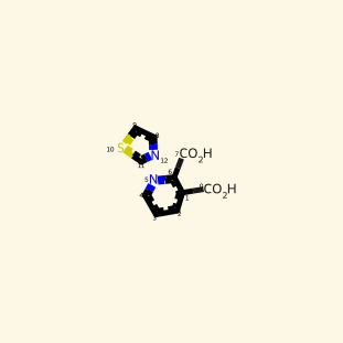 O=C(O)c1cccnc1C(=O)O.c1cscn1